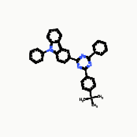 C[Si](C)(C)c1ccc(-c2nc(-c3ccccc3)nc(-c3ccc4c(c3)c3ccccc3n4-c3ccccc3)n2)cc1